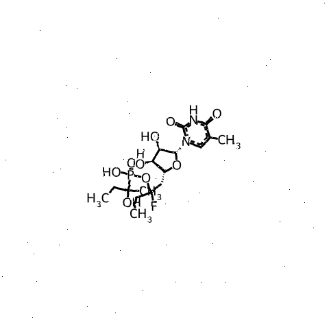 CCC(F)(C[C@H]1O[C@@H](n2cc(C)c(=O)[nH]c2=O)[C@H](O)[C@@H]1O)OP(=O)(O)C(C)(O)CC